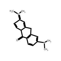 CN(C)c1ccc2c(c1)CC1=CC(=[N+](C)C)C=CC1C2=O